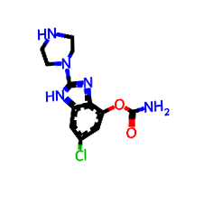 NC(=O)Oc1cc(Cl)cc2[nH]c(N3CCNCC3)nc12